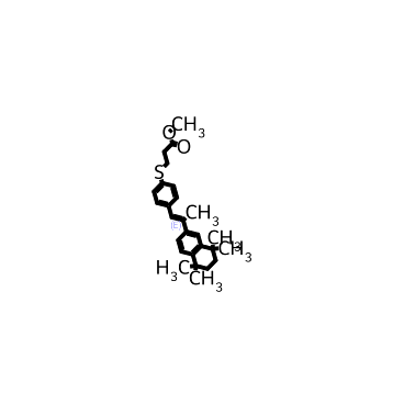 COC(=O)CCSc1ccc(/C=C(\C)c2ccc3c(c2)C(C)(C)CCC3(C)C)cc1